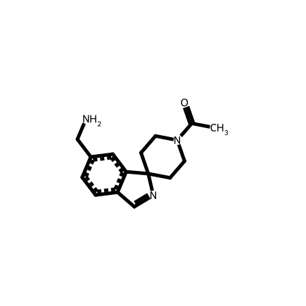 CC(=O)N1CCC2(CC1)N=Cc1ccc(CN)cc12